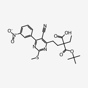 CCC(CCc1nc(SC)nc(-c2cccc([N+](=O)[O-])c2)c1C#N)(C(=O)O)C(=O)OC(C)(C)C